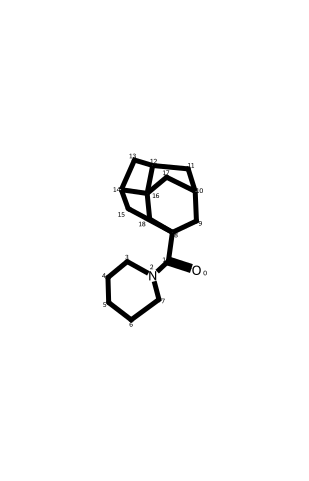 O=C(N1CCCCC1)C12CC3CC4CC(C1)C4(C3)C2